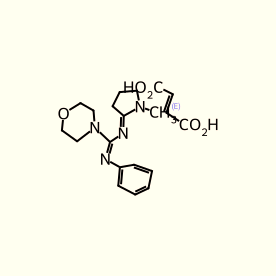 CN1CCCC1=NC(=Nc1ccccc1)N1CCOCC1.O=C(O)/C=C/C(=O)O